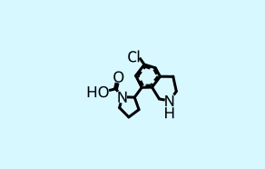 O=C(O)N1CCCC1c1cc(Cl)cc2c1CNCC2